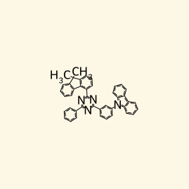 CC1(C)c2ccccc2-c2c(-c3nc(-c4ccccc4)nc(-c4cccc(-n5c6ccccc6c6ccccc65)c4)n3)cccc21